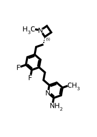 Cc1cc(N)nc(CCc2cc(CC[C@H]3CCN3C)cc(F)c2F)c1